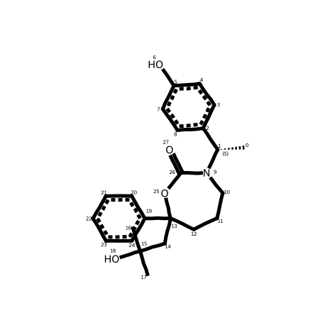 C[C@@H](c1ccc(O)cc1)N1CCCC(CC(C)(C)O)(c2ccccc2)OC1=O